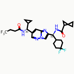 O=C(CCC(F)(F)F)N[C@@H](c1cnn2cc([C@@H](NC(=O)C3CC34CC4)C3CCC(F)(F)CC3)nc2c1)C1CC1